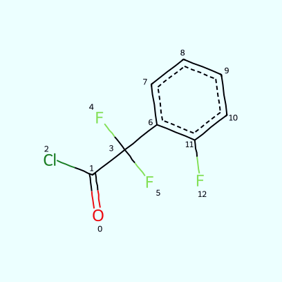 O=C(Cl)C(F)(F)c1ccccc1F